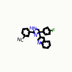 N#Cc1cccc(C2=NC(c3ccc(F)cc3)(c3cnc4ccccc4c3)CN2)c1